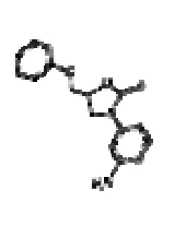 Nc1cc(N2CC(COc3ccccc3)OC2=O)ccn1